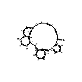 O=C1/N=C\C=C/COc2ccc3ncnc(c3c2)/N=c2\cccc\c2=C/n2cccc21